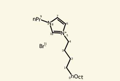 CCCCCCCCCCCC[n+]1ccn(CCC)c1.[Br-]